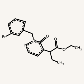 CCOC(=O)C(CC)c1ccnn(Cc2cccc(Br)c2)c1=O